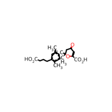 CC1(C)CC(=O)C=C(C(=O)O)O1.Cc1ccc(C)c(CCCC(=O)O)c1